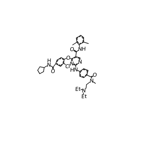 CCN(CC)CCN(C)C(=O)c1ccc(Nc2ncc(C(=O)Nc3c(C)cccc3C)c(Oc3ccc(C(=O)NC4CCCC4)cc3Cl)n2)cc1